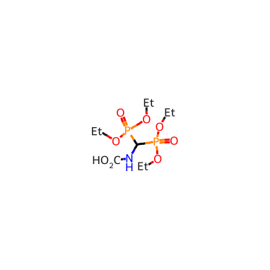 CCOP(=O)(OCC)C(NC(=O)O)P(=O)(OCC)OCC